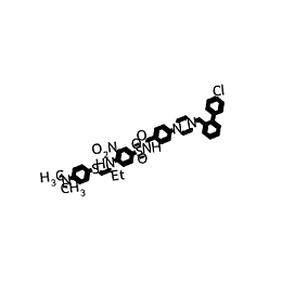 CC[C@H](CSc1ccc(N(C)C)cc1)Nc1ccc(S(=O)(=O)NC(=O)c2ccc(N3CCN(Cc4ccccc4-c4ccc(Cl)cc4)CC3)cc2)cc1[N+](=O)[O-]